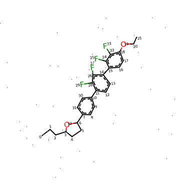 CCCC1CCC(c2ccc(-c3ccc(-c4ccc(OCC)c(F)c4F)c(F)c3F)cc2)O1